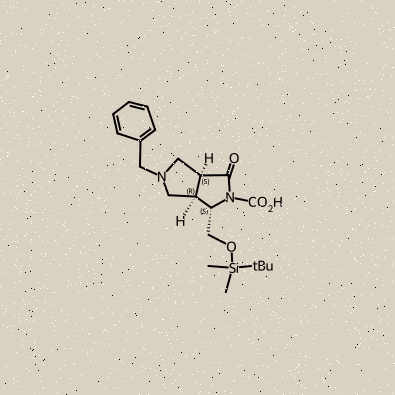 CC(C)(C)[Si](C)(C)OC[C@@H]1[C@H]2CN(Cc3ccccc3)C[C@H]2C(=O)N1C(=O)O